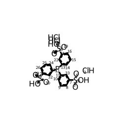 Cl.Cl.Cl.O=S(=O)(O)c1cccc(P(c2cccc(S(=O)(=O)O)c2)c2cccc(S(=O)(=O)O)c2)c1